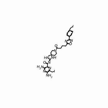 Nc1nc(N)c(C(=O)/N=C2\NCC3(CCN(C(=O)CCCc4nc(-c5ccc(CI)cc5)no4)CC3)N2)nc1CI